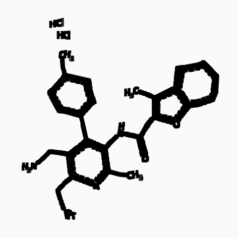 Cc1ccc(-c2c(CN)c(CC(C)C)nc(C)c2NC(=O)c2oc3ccccc3c2C)cc1.Cl.Cl